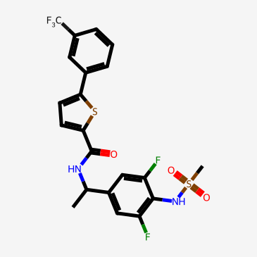 CC(NC(=O)c1ccc(-c2cccc(C(F)(F)F)c2)s1)c1cc(F)c(NS(C)(=O)=O)c(F)c1